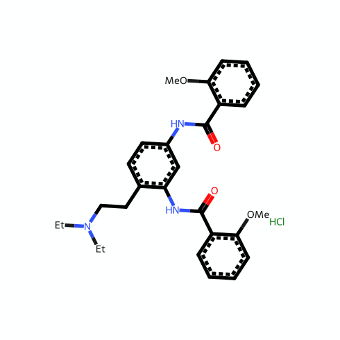 CCN(CC)CCc1ccc(NC(=O)c2ccccc2OC)cc1NC(=O)c1ccccc1OC.Cl